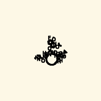 COc1c(F)ccc2c(O[C@@H]3C[C@H]4C(=O)N[C@]5(C(=O)NS(=O)(=O)C6CC6)C[C@H]5/C=C\CCCCC[C@H](NC(=O)c5ccn(C)n5)C(=O)N4C3)cc(OC(C)C)nc12